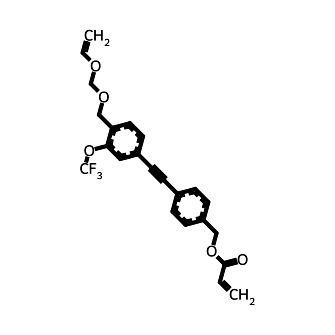 C=COCOCc1ccc(C#Cc2ccc(COC(=O)C=C)cc2)cc1OC(F)(F)F